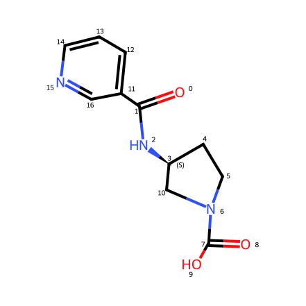 O=C(N[C@H]1CCN(C(=O)O)C1)c1cccnc1